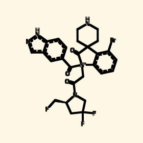 O=C(C[N+]1(C(=O)c2ccc3[nH]ncc3c2)C(=O)C2(CCNCC2)c2c(Br)cccc21)N1CC(F)(F)C[C@H]1CF